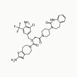 Nc1nc2c(s1)CCN(C(=O)[C@H](CC(=O)N1CCC(N3CCc4ccccc4NC3=O)CC1)Cc1cc(Cl)c(N)c(C(F)(F)F)c1)CC2